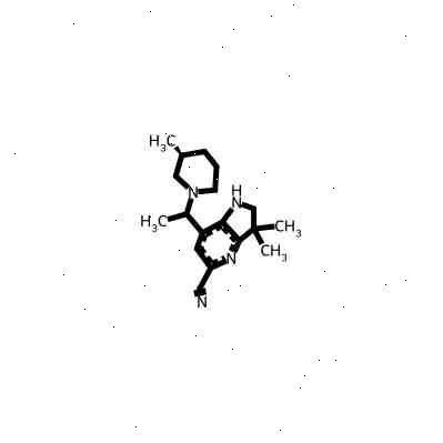 CC(c1cc(C#N)nc2c1NCC2(C)C)N1CCC[C@H](C)C1